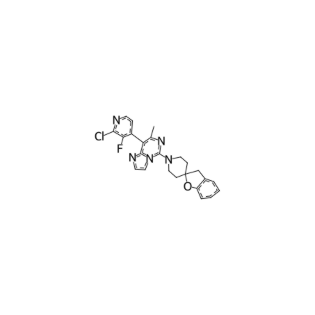 Cc1nc(N2CCC3(CC2)Cc2ccccc2O3)n2ccnc2c1-c1ccnc(Cl)c1F